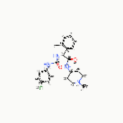 Cc1ccccc1C(NC(=O)Nc1ccc(Cl)cc1)C(=O)NC1CCN(C(C)C)CC1